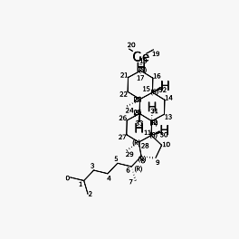 CC(C)CCC[C@@H](C)[C@H]1CC[C@H]2[C@@H]3CC[C@H]4C[C@@H]([GeH]([CH3])[CH3])CC[C@]4(C)[C@H]3CC[C@]12C